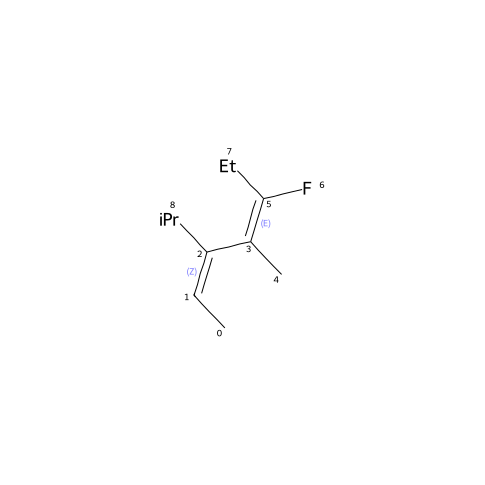 C/C=C(\C(C)=C(\F)CC)C(C)C